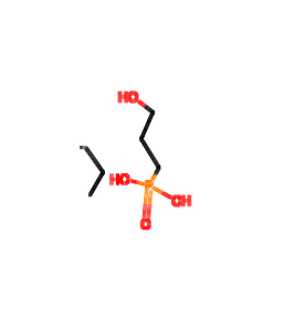 O=P(O)(O)CCCO.[CH2]CC